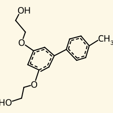 Cc1ccc(-c2cc(OCCO)cc(OCCO)c2)cc1